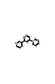 c1cncc(-c2cc(-[n+]3cccnc3)cnn2)c1